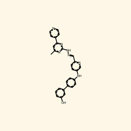 Cc1cc(-c2ccncc2)nc(N/N=C/c2ccc(Nc3ccc(-c4cccc(O)c4)cc3)cn2)n1